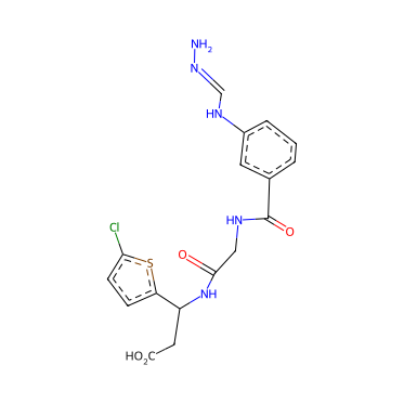 NN=CNc1cccc(C(=O)NCC(=O)NC(CC(=O)O)c2ccc(Cl)s2)c1